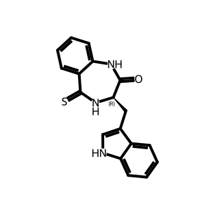 O=C1Nc2ccccc2C(=S)N[C@@H]1Cc1c[nH]c2ccccc12